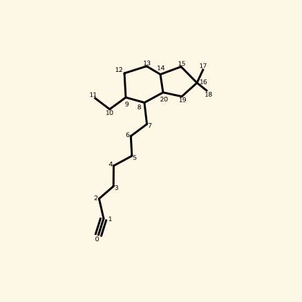 C#CCCCCCCC1C(CC)CCC2CC(C)(C)CC21